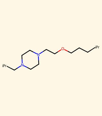 CC(C)CCCOCCN1CCN(CC(C)C)CC1